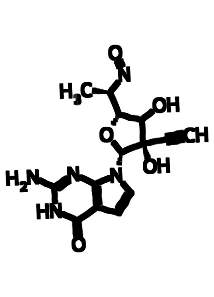 C#C[C@@]1(O)C(O)[C@@H]([C@@H](C)N=O)O[C@H]1n1ccc2c(=O)[nH]c(N)nc21